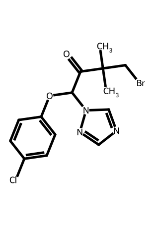 CC(C)(CBr)C(=O)C(Oc1ccc(Cl)cc1)n1cncn1